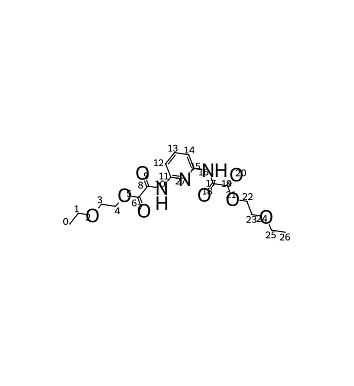 CCOCCOC(=O)C(=O)Nc1cccc(NC(=O)C(=O)OCCOCC)n1